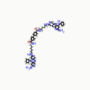 C=C1C=C(NCCCCCCNC(=O)c2ccc(-c3ccc(C(=O)NCCCCCCNc4cc5c(cn4)nc4cnc(N)cc4[n+]5-c4ccccc4)cc3)cc2)N=C/C1=N/c1cnc(N)cc1Nc1ccccc1